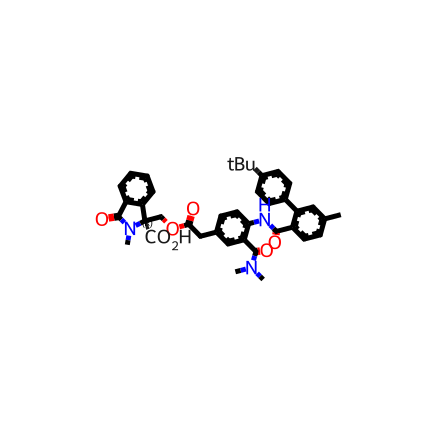 Cc1ccc(C(=O)Nc2ccc(CC(=O)OC[C@@]3(C(=O)O)c4ccccc4C(=O)N3C)cc2C(=O)N(C)C)c(-c2ccc(C(C)(C)C)cc2)c1